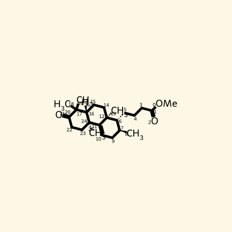 COC(=O)CCC[C@@H]1[C@@H](C)CC=C2[C@@]1(C)CC[C@H]1C(C)(C)C(=O)CC[C@]21C